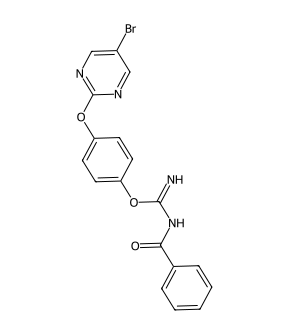 N=C(NC(=O)c1ccccc1)Oc1ccc(Oc2ncc(Br)cn2)cc1